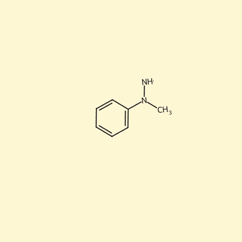 CN([NH])c1ccccc1